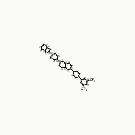 FC(F)(F)c1cc(-c2ccc(-c3ccc4cc(-c5ccc(-c6nc7ccccc7o6)nc5)ccc4c3)cc2)cc(C(F)(F)F)c1